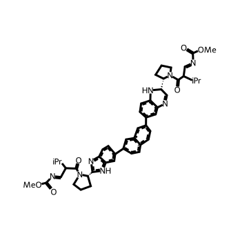 COC(=O)/N=C/C(C(=O)N1CCC[C@H]1c1nc2ccc(-c3ccc4ccc(-c5ccc6c(c5)N=CC([C@@H]5CCCN5C(=O)C(/C=N/C(=O)OC)C(C)C)N6)cc4c3)cc2[nH]1)C(C)C